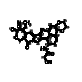 CC[C@@]1(O)C(=O)OCc2c1cc1n(c2=O)Cc2c-1nc1cc3c(c4c1c2[C@@H](NC(=O)CO)CS4)OCCO3